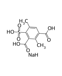 Cc1cc(C(=O)O)c(C)c(C(=O)O)c1S(=O)(=O)O.[NaH]